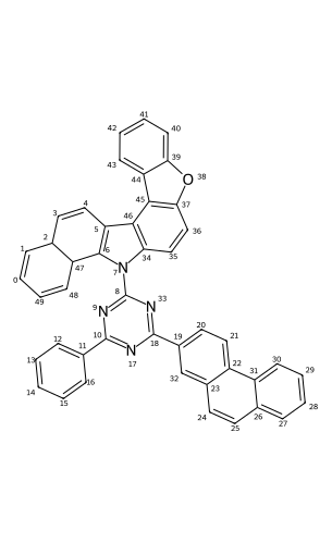 C1=CC2C=Cc3c(n(-c4nc(-c5ccccc5)nc(-c5ccc6c(ccc7ccccc76)c5)n4)c4ccc5oc6ccccc6c5c34)C2C=C1